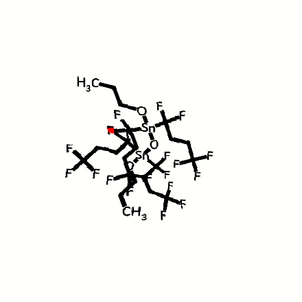 CCC[O][Sn]([O][Sn]([O]CCC)([C](F)(F)CCC(F)(F)F)[C](F)(F)CCC(F)(F)F)([C](F)(F)CCC(F)(F)F)[C](F)(F)CCC(F)(F)F